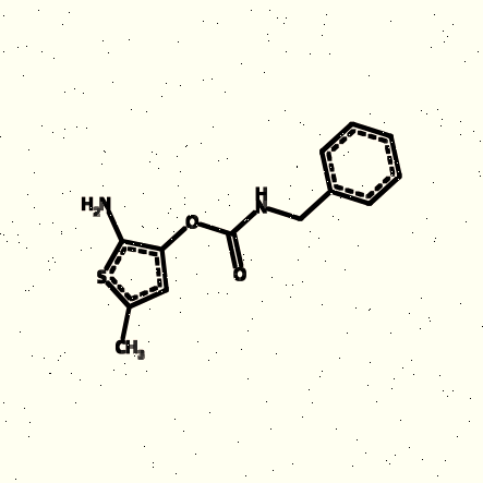 Cc1cc(OC(=O)NCc2ccccc2)c(N)s1